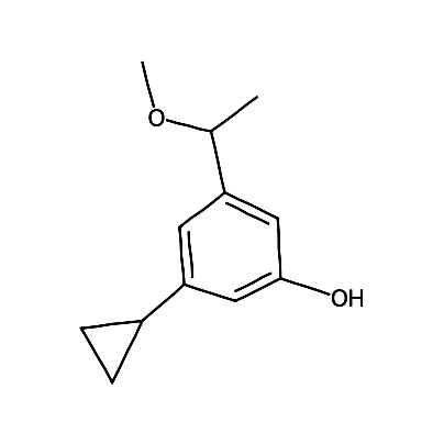 COC(C)c1cc(O)cc(C2CC2)c1